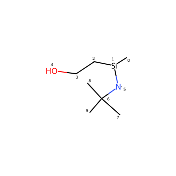 C[Si](CCO)[N]C(C)(C)C